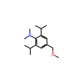 COCc1cc(C(C)C)c(N(C)C)c(C(C)C)c1